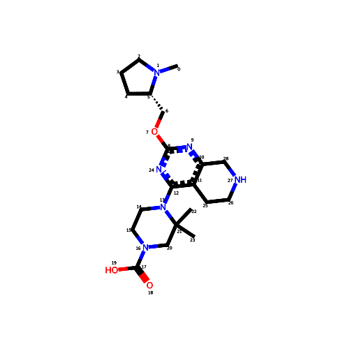 CN1CCC[C@H]1COc1nc2c(c(N3CCN(C(=O)O)CC3(C)C)n1)CCNC2